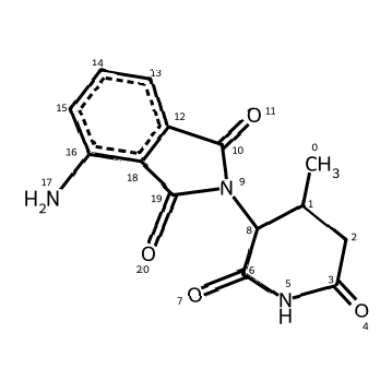 CC1CC(=O)NC(=O)C1N1C(=O)c2cccc(N)c2C1=O